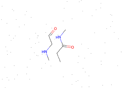 CCC(=O)NC.CNCC=O